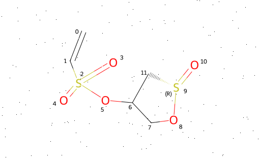 C=CS(=O)(=O)OC1CO[S@@](=O)C1